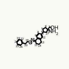 NC1(CO)CCC(c2ccc3c(c2)CCCC3=NOCCc2ccccc2)C1